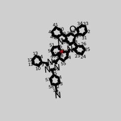 N#Cc1ccc(-c2nc(-c3ccccc3)nc(-c3ccc(-n4c5ccccc5c5c6c7ccccc7oc6c6c7ccccc7n(-c7ccccc7)c6c54)cc3)n2)cc1